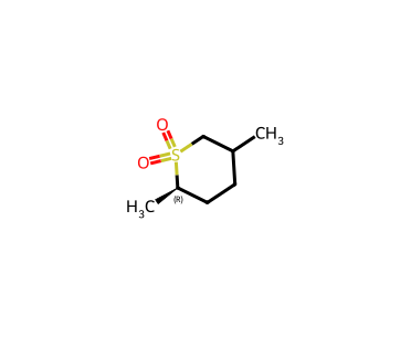 CC1CC[C@@H](C)S(=O)(=O)C1